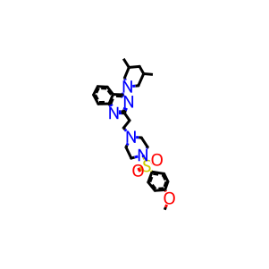 COc1ccc(S(=O)(=O)N2CCN(CCc3nc(N4CC(C)CC(C)C4)c4ccccc4n3)CC2)cc1